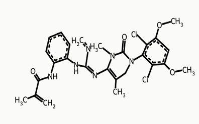 C=N/C(=N\C1=C(C)CN(c2c(Cl)c(OC)cc(OC)c2Cl)C(=O)N1C)Nc1ccccc1NC(=O)C(=C)C